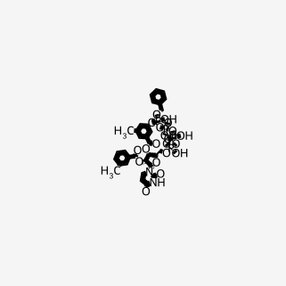 Cc1cccc(C(=O)OC2[C@@H](COP(=O)(O)OP(=O)(O)OP(=O)(O)OP(=O)(O)OCc3ccccc3)O[C@@H](n3ccc(=O)[nH]c3=O)[C@H]2OC(=O)c2cccc(C)c2)c1